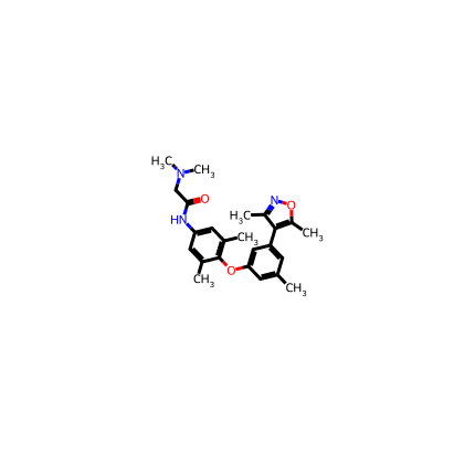 Cc1cc(Oc2c(C)cc(NC(=O)CN(C)C)cc2C)cc(-c2c(C)noc2C)c1